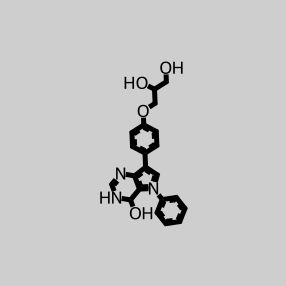 OCC(O)COc1ccc(-c2cn(-c3ccccc3)c3c2N=CNC3O)cc1